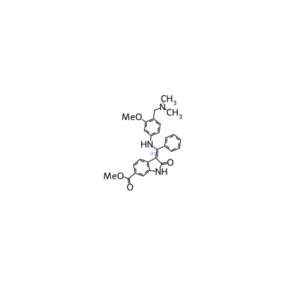 COC(=O)c1ccc2c(c1)NC(=O)/C2=C(/Nc1ccc(CN(C)C)c(OC)c1)c1ccccc1